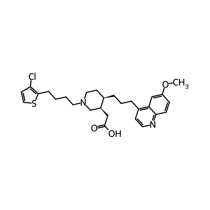 COc1ccc2nccc(CCC[C@@H]3CCN(CCCCc4sccc4Cl)C[C@@H]3CC(=O)O)c2c1